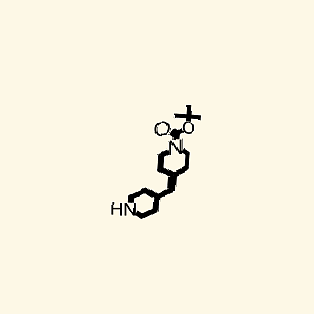 CC(C)(C)OC(=O)N1CCC(=CC2CCNCC2)CC1